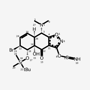 CN(C)[C@@H]1c2onc(OB=N)c2C(=O)[C@@]2(O)[C@H](O[Si](C)(C)C(C)(C)C)[C@@H](Br)C=C[C@@H]12